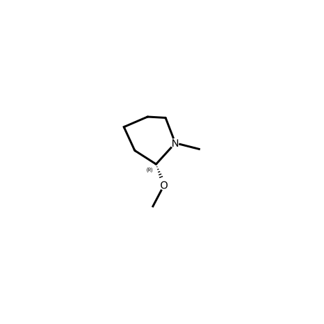 CO[C@@H]1CCCCN1C